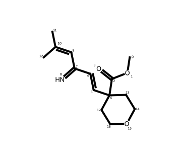 COC(=O)C1(/C=C/C(=N)C=C(C)C)CCOCC1